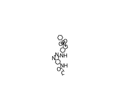 C=C=CC(=O)Nc1ccc2ncnc(Nc3ccc4c(ccn4S(=O)(=O)c4ccccc4)c3)c2c1